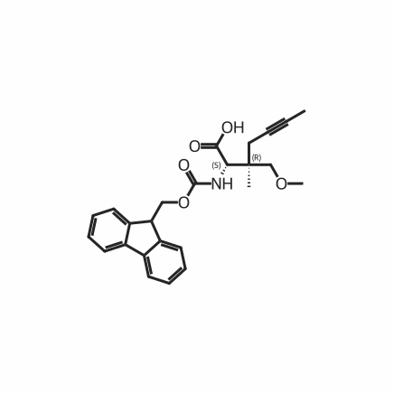 CC#CC[C@@](C)(COC)[C@H](NC(=O)OCC1c2ccccc2-c2ccccc21)C(=O)O